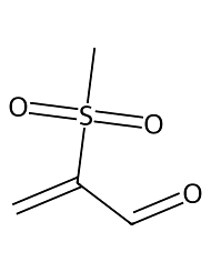 C=C(C=O)S(C)(=O)=O